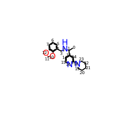 CC(NCc1cccc2c1OCO2)c1ccnc(N2CCCCC2)c1